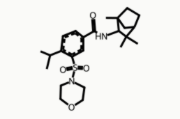 CC(C)c1ccc(C(=O)NC2C3(C)CCC(C3)C2(C)C)cc1S(=O)(=O)N1CCOCC1